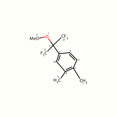 COOC(c1ccc(C)c(C)c1)(C(F)(F)F)C(F)(F)F